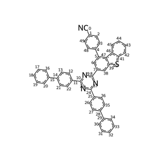 N#Cc1ccc(-c2cc(-c3nc(-c4ccc(-c5ccccc5)cc4)nc(-c4ccc(-c5ccccc5)cc4)n3)cc3sc4ccccc4c23)cc1